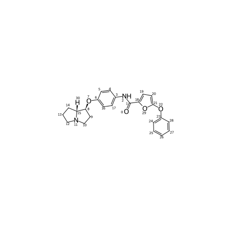 O=C(Nc1ccc(O[C@H]2CCN3CCC[C@H]23)cc1)c1ccc(Oc2ccccc2)o1